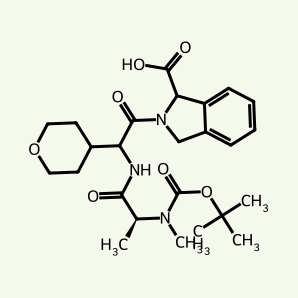 C[C@@H](C(=O)NC(C(=O)N1Cc2ccccc2C1C(=O)O)C1CCOCC1)N(C)C(=O)OC(C)(C)C